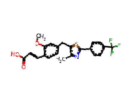 COc1cc(Cc2sc(-c3ccc(C(F)(F)F)cc3)nc2C)ccc1C=CC(=O)O